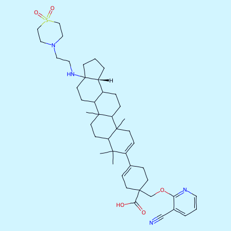 CC1(C)C(C2=CCC(COc3ncccc3C#N)(C(=O)O)CC2)=CCC2(C)C1CCC1(C)C3CCC4(NCCN5CCS(=O)(=O)CC5)CCC[C@@H]4C3CCC12